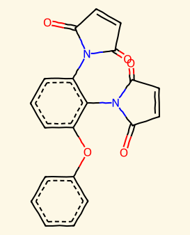 O=C1C=CC(=O)N1c1cccc(Oc2ccccc2)c1N1C(=O)C=CC1=O